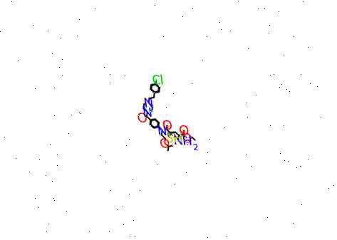 CCOC(=O)C(N)C[C@@H](S)C(=O)N(CCOC(C)C)c1ccc(C(=O)N2CCN(CCc3ccc(Cl)cc3)CC2)cc1